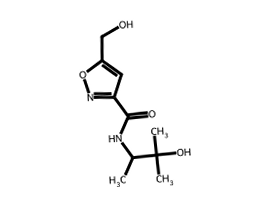 CC(NC(=O)c1cc(CO)on1)C(C)(C)O